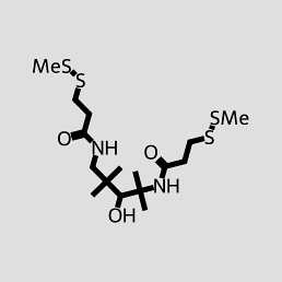 CSSCCC(=O)NCC(C)(C)C(O)C(C)(C)NC(=O)CCSSC